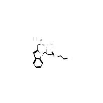 CNN(C)Cc1cc2ccccc2n1CCC(=O)NCC=O